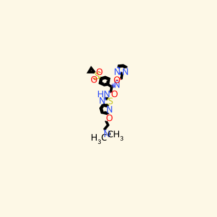 CN(C)CCCOc1ccc2nc(NC(=O)/C(=N/OCc3ncccn3)c3ccc(S(=O)(=O)C4CC4)cc3)sc2n1